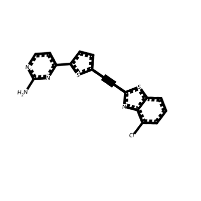 Nc1nccc(-c2ccc(C#Cc3nc4c(Cl)cccc4s3)s2)n1